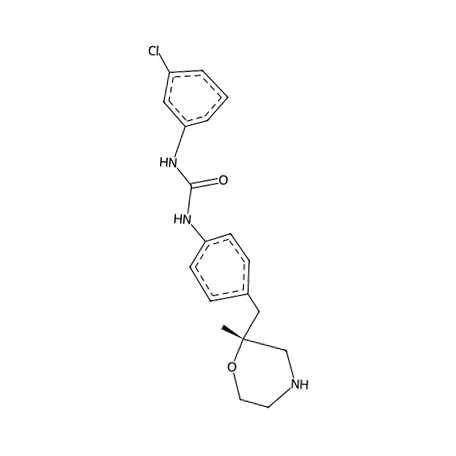 C[C@@]1(Cc2ccc(NC(=O)Nc3cccc(Cl)c3)cc2)CNCCO1